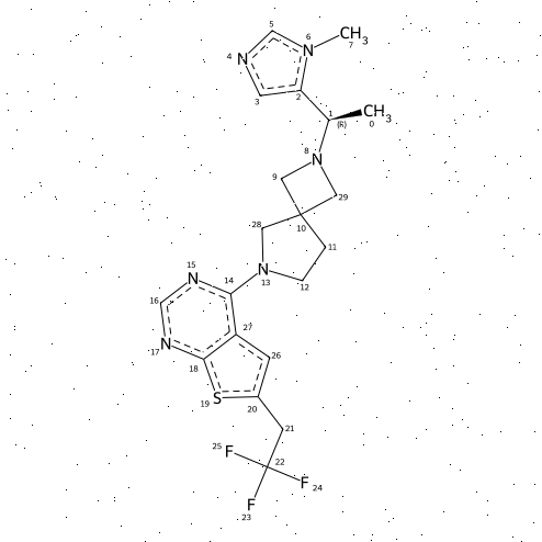 C[C@H](c1cncn1C)N1CC2(CCN(c3ncnc4sc(CC(F)(F)F)cc34)C2)C1